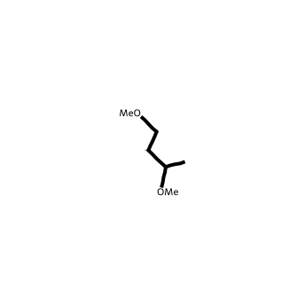 COC[CH]C(C)OC